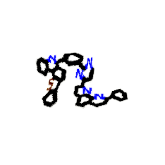 c1ccc(-c2ccc3ccc4ccc(-c5ccnc(-c6cccc(-c7nc8ccccc8c8c7ccc7c9ccccc9sc78)c6)n5)nc4c3n2)cc1